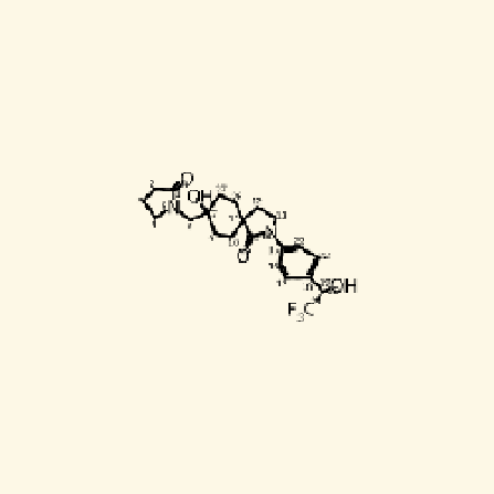 O=C1CCCN1CC1(O)CCC2(CCN(c3ccc([C@@H](O)C(F)(F)F)cc3)C2=O)CC1